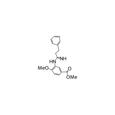 COC(=O)c1ccc(OC)c(NC(=N)CCc2ccccc2)c1